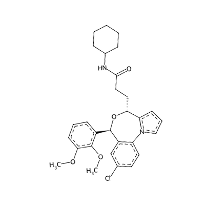 COc1cccc([C@H]2O[C@H](CCC(=O)NC3CCCCC3)c3cccn3-c3ccc(Cl)cc32)c1OC